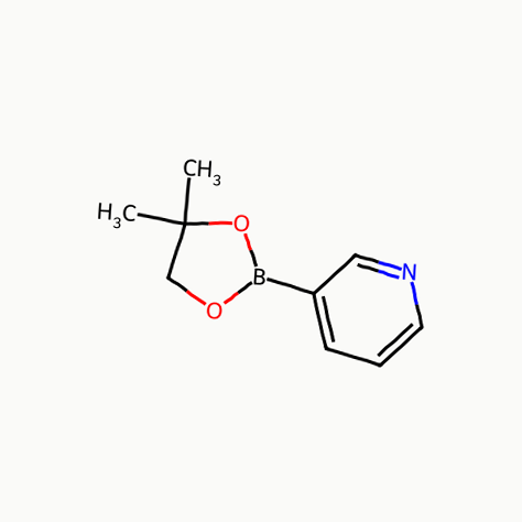 CC1(C)COB(c2cccnc2)O1